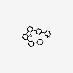 c1cncc(-c2ccc(-c3cccc4c3sc3c(-c5cccc(C6CCCCC6)c5)cccc34)cc2)c1